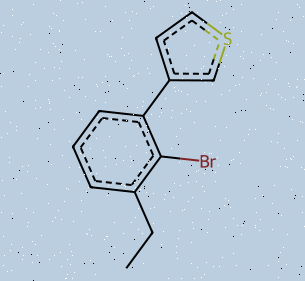 CCc1cccc(-c2ccsc2)c1Br